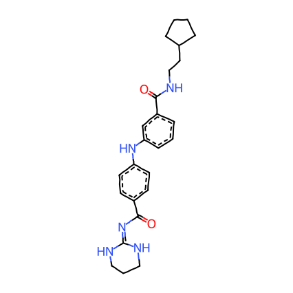 O=C(N=C1NCCCN1)c1ccc(Nc2cccc(C(=O)NCCC3CCCC3)c2)cc1